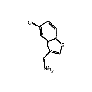 NCC1=CSC2C=CC(Cl)=CC12